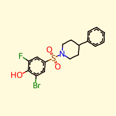 O=S(=O)(c1cc(F)c(O)c(Br)c1)N1CCC(c2ccccc2)CC1